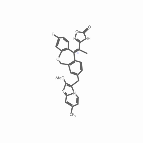 COc1nc2cc(C(F)(F)F)ccn2c1Cc1ccc2c(c1)COc1cc(F)ccc1/C2=C(/C)c1noc(=O)[nH]1